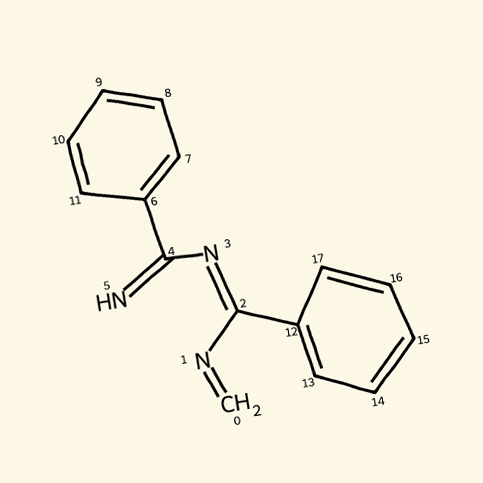 C=N/C(=N\C(=N)c1ccccc1)c1ccccc1